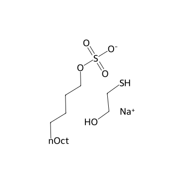 CCCCCCCCCCCCOS(=O)(=O)[O-].OCCS.[Na+]